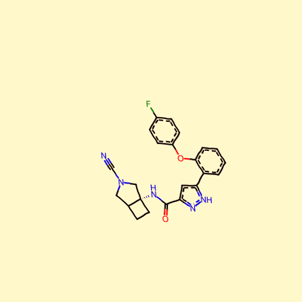 N#CN1CC2CC[C@]2(NC(=O)c2cc(-c3ccccc3Oc3ccc(F)cc3)[nH]n2)C1